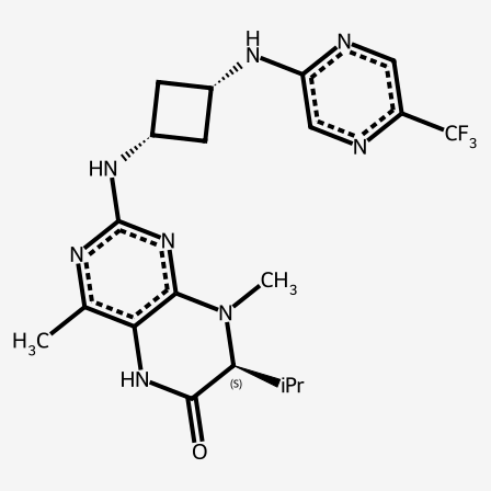 Cc1nc(N[C@H]2C[C@@H](Nc3cnc(C(F)(F)F)cn3)C2)nc2c1NC(=O)[C@H](C(C)C)N2C